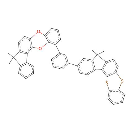 CC1(C)c2ccccc2-c2c1ccc1c2Oc2c(cccc2-c2cccc(-c3ccc4c(c3)C(C)(C)c3ccc5c(c3-4)Sc3ccccc3S5)c2)O1